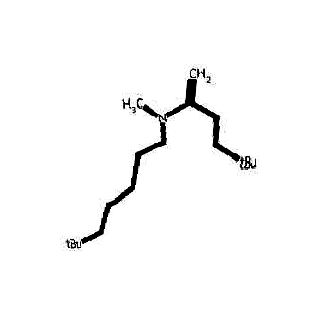 C=C(CCC(C)(C)C)N(C)CCCCCC(C)(C)C